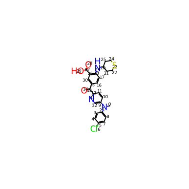 CN(c1ccc(Cl)cc1)c1ccc(C(=O)c2ccc(NC3CCSCC3)c(C(=O)O)c2)nc1